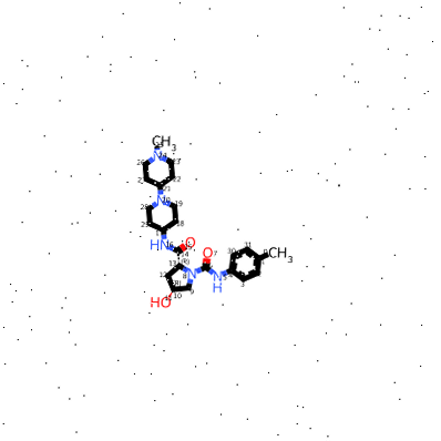 Cc1ccc(NC(=O)N2C[C@H](O)C[C@@H]2C(=O)NC2CCN(C3CCN(C)CC3)CC2)cc1